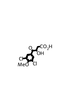 COc1c(Cl)cc(C(=O)C(O)CC(=O)O)cc1Cl